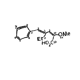 CCC(=C\c1ccccc1)/C=C(/OC)C(=O)O